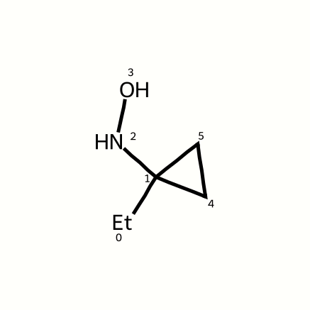 CCC1(NO)CC1